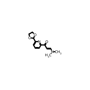 CN(C)C=CC(=O)c1cccc(C2OCCO2)n1